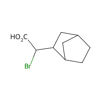 O=C(O)C(Br)C1CC2CCC1C2